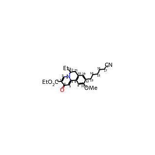 CCOC(=O)c1cn2c(cc1=O)-c1cc(OC)c(CCCCCC#N)cc1CC2CC